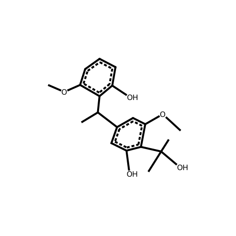 COc1cccc(O)c1C(C)c1cc(O)c(C(C)(C)O)c(OC)c1